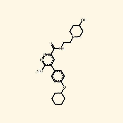 CCCCc1nnc(C(=O)NCCN2CCC(O)CC2)cc1-c1ccc(OC2CCCCC2)cc1